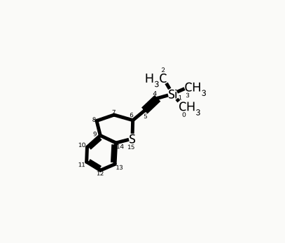 C[Si](C)(C)C#CC1CCc2ccccc2S1